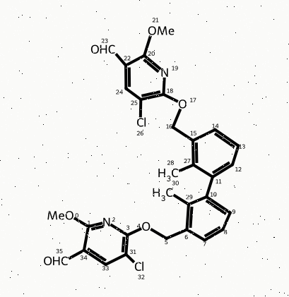 COc1nc(OCc2cccc(-c3cccc(COc4nc(OC)c(C=O)cc4Cl)c3C)c2C)c(Cl)cc1C=O